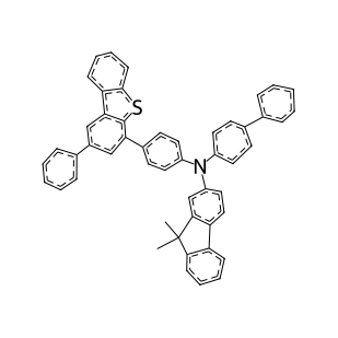 CC1(C)c2ccccc2-c2ccc(N(c3ccc(-c4ccccc4)cc3)c3ccc(-c4cc(-c5ccccc5)cc5c4sc4ccccc45)cc3)cc21